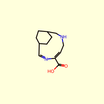 O=C(O)C1=CCNCC2CCC(C=N1)CC2